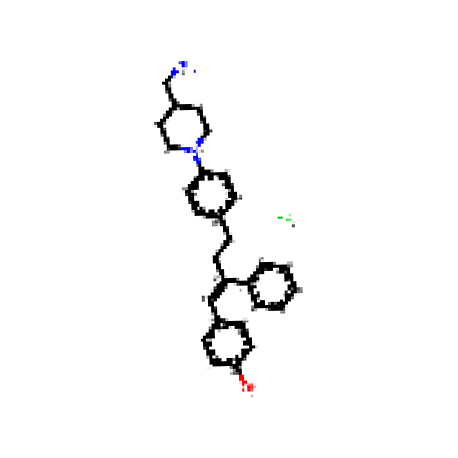 Cl.NCC1CCN(c2ccc(CCC(=Cc3ccc(O)cc3)c3ccccc3)cc2)CC1